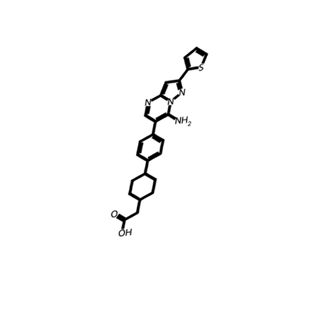 Nc1c(-c2ccc(C3CCC(CC(=O)O)CC3)cc2)cnc2cc(-c3cccs3)nn12